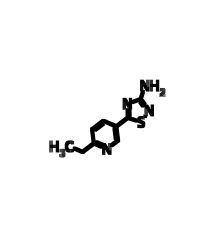 CCc1ccc(-c2nc(N)ns2)cn1